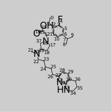 CCc1c(F)cc(C(C)C)cc1[C@@H](C(=O)O)N1CC[C@@H](N(C)CCCCCc2ccc3c(n2)NCCC3)C1